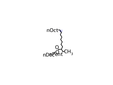 CCCCCCCC/C=C\CCCCCCC(C(=O)OCCCCCCCCCCC)C(C)CCCCC